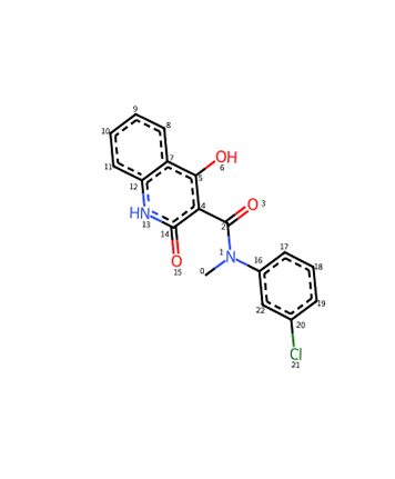 CN(C(=O)c1c(O)c2ccccc2[nH]c1=O)c1cccc(Cl)c1